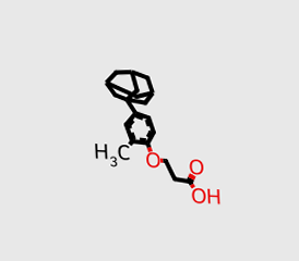 Cc1cc(C23CC4CC(CC(C4)C2)C3)ccc1OCCC(=O)O